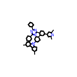 Cc1ccc2c(c1)c1cc(C)ccc1n2-c1ccc(-c2cc(-c3cc(C)nc(C)c3)ccc2-c2nc(-c3ccccc3)nc(-c3ccccc3)n2)cc1